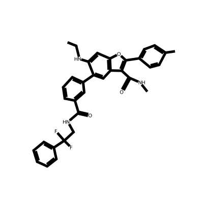 CCNc1cc2oc(-c3ccc(C)cc3)c(C(=O)NC)c2cc1-c1cccc(C(=O)NCC(F)(F)c2ccccc2)c1